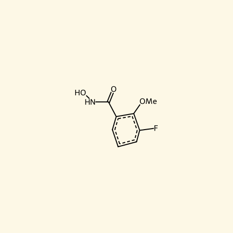 COc1c(F)cccc1C(=O)NO